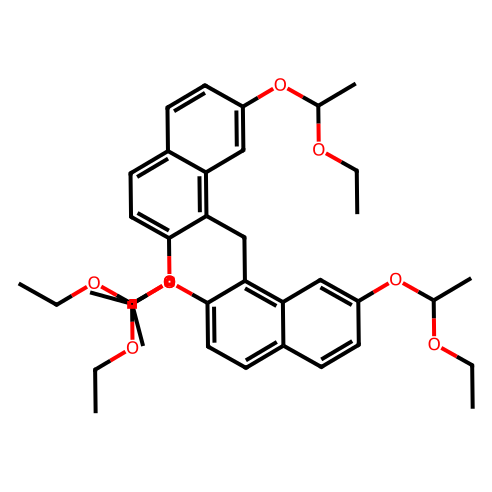 CCOC(C)Oc1ccc2ccc(OC(C)OCC)c(Cc3c(OC(C)OCC)ccc4ccc(OC(C)OCC)cc34)c2c1